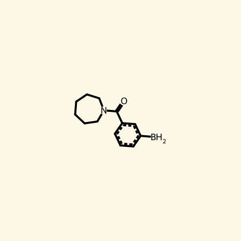 Bc1cccc(C(=O)N2CCCCCC2)c1